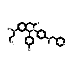 CC(C)N(CCN)c1ccc2c(c1)C(c1ccc(Cl)cc1)N(c1ccc(N(C)Cc3ccncc3)cc1)C(=O)C2